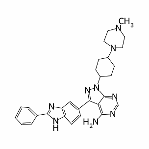 CN1CCN(C2CCC(n3nc(-c4ccc5[nH]c(-c6ccccc6)nc5c4)c4c(N)ncnc43)CC2)CC1